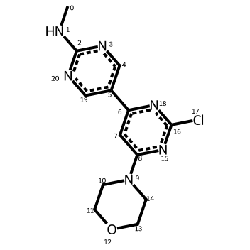 CNc1ncc(-c2cc(N3CCOCC3)nc(Cl)n2)cn1